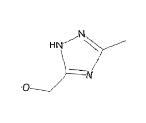 Cc1n[nH]c(C[O])n1